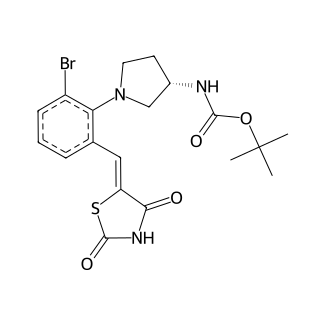 CC(C)(C)OC(=O)N[C@H]1CCN(c2c(Br)cccc2/C=C2\SC(=O)NC2=O)C1